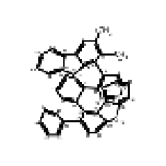 Cc1cc2c(c(-c3cnnnc3-c3ccccc3-c3c(-c4ccccc4)ccc4sc5ccccc5c34)c1C)Cc1ccccc1-2